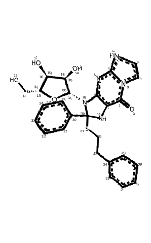 O=c1c2c(nc3[nH]ccn13)N([C@@H]1O[C@H](CO)[C@@H](O)[C@H]1O)C(SCCc1ccccc1)(c1ccccc1)N2